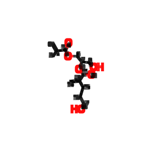 C=C(C)C(=O)OCC(CO)OC(=O)C(=C)CCCO